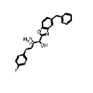 N[C@H](CCc1ccc(F)cc1)C(O)c1nc2cc(Cc3ccccc3)ccc2o1